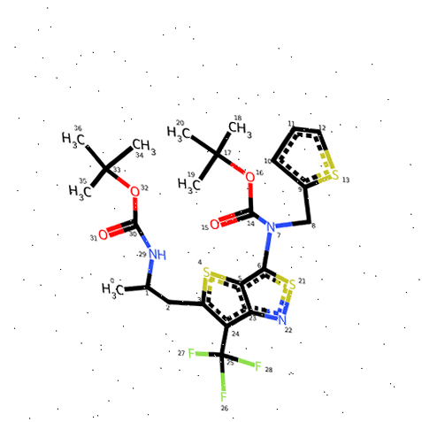 CC(Cc1sc2c(N(Cc3cccs3)C(=O)OC(C)(C)C)snc2c1C(F)(F)F)NC(=O)OC(C)(C)C